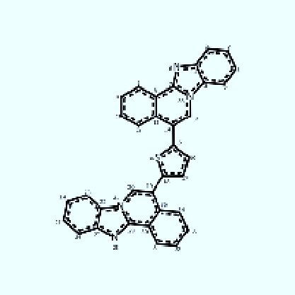 c1ccc2c(c1)nc1c3ccccc3c(-c3ccc(-c4cn5c6ccccc6nc5c5ccccc45)s3)cn21